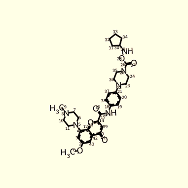 COc1cc(N2CCN(C)CC2)c2oc(C(=O)Nc3ccc(N4CCN(C(=O)ONC5CCCC5)CC4)cc3)cc(=O)c2c1